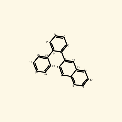 [c]1ccc(-c2ccc3ccccc3c2)c(-c2ccccc2)c1